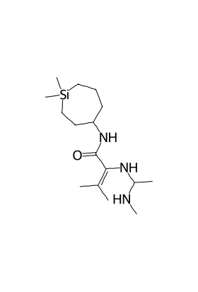 CNC(C)NC(C(=O)NC1CCC[Si](C)(C)CC1)=C(C)C